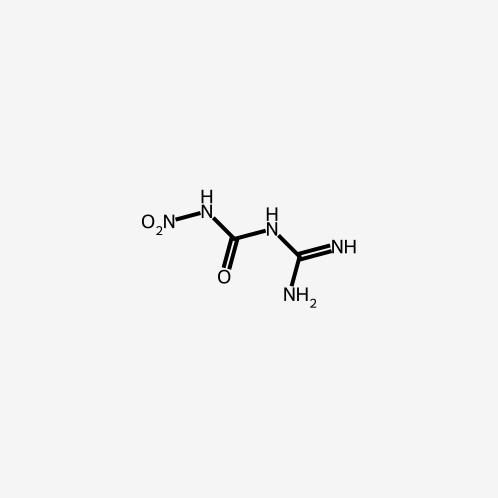 N=C(N)NC(=O)N[N+](=O)[O-]